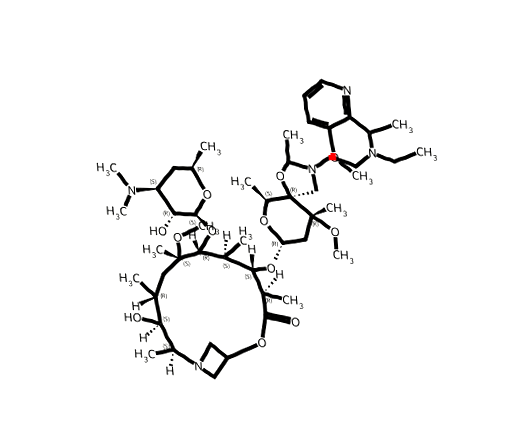 CCN(CCN1C[C@@]2(OC1C)[C@H](C)O[C@@H](O[C@H]1[C@H](C)[C@@H](O[C@@H]3O[C@H](C)C[C@H](N(C)C)[C@H]3O)[C@@](C)(OC)C[C@@H](C)[C@H](O)[C@H](C)N3CC(C3)OC(=O)[C@@H]1C)C[C@@]2(C)OC)C(C)c1ncccc1OC